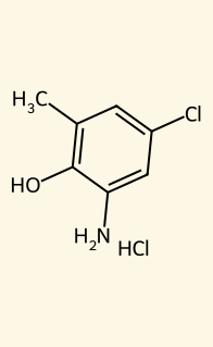 Cc1cc(Cl)cc(N)c1O.Cl